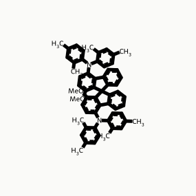 COc1ccc(N(c2ccc(C)cc2C)c2ccc(C)cc2C)c2c1C1(c3ccccc3-2)c2ccccc2-c2c(N(c3ccc(C)cc3C)c3ccc(C)cc3C)ccc(OC)c21